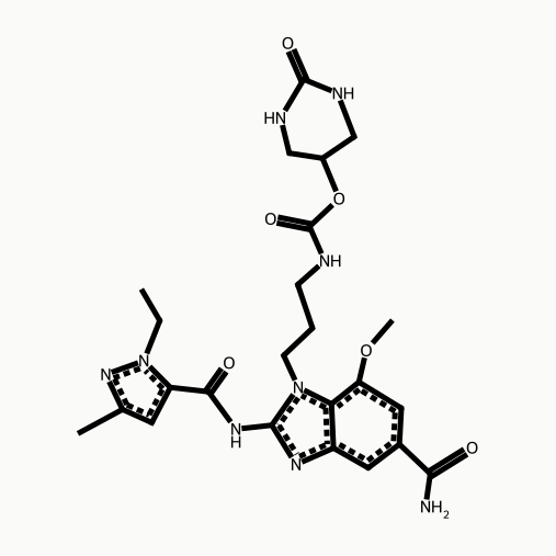 CCn1nc(C)cc1C(=O)Nc1nc2cc(C(N)=O)cc(OC)c2n1CCCNC(=O)OC1CNC(=O)NC1